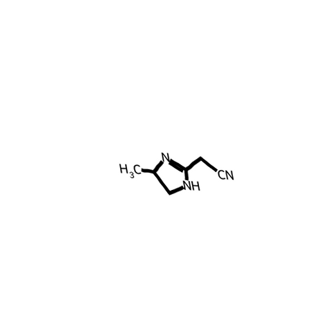 CC1CNC(CC#N)=N1